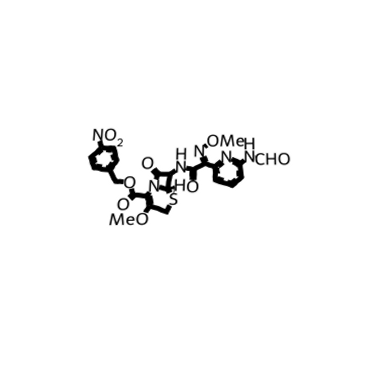 CON=C(C(=O)NC1C(=O)N2C(C(=O)OCc3ccc([N+](=O)[O-])cc3)=C(OC)CS[C@@H]12)c1cccc(NC=O)n1